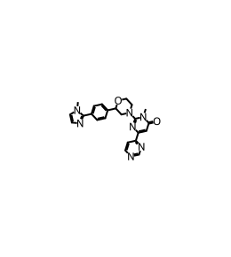 Cn1ccnc1-c1ccc(C2CN(c3nc(-c4ccncn4)cc(=O)n3C)CCO2)cc1